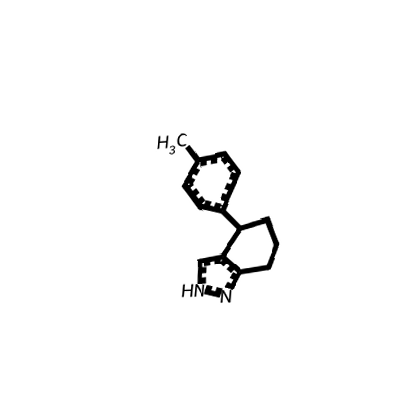 Cc1ccc(C2CCCc3n[nH]cc32)cc1